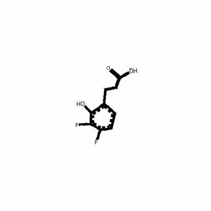 O=C(O)CCc1ccc(F)c(F)c1O